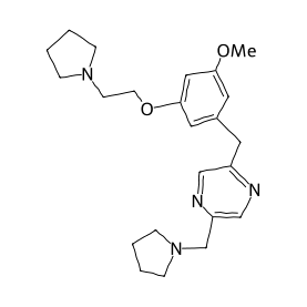 COc1cc(Cc2cnc(CN3CCCC3)cn2)cc(OCCN2CCCC2)c1